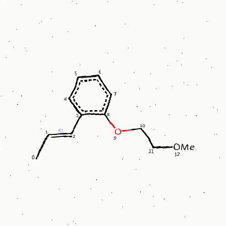 C/C=C/c1ccccc1OCCOC